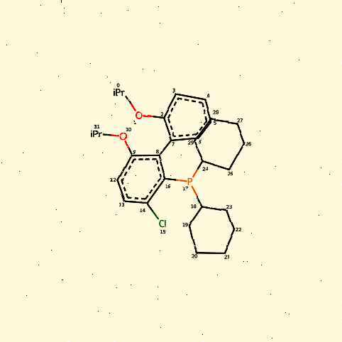 CC(C)Oc1ccccc1-c1c(OC(C)C)ccc(Cl)c1P(C1CCCCC1)C1CCCCC1